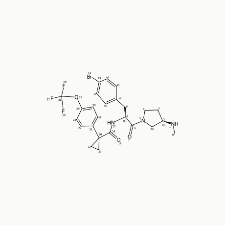 CN[C@@H]1CCN(C(=O)[C@H](Cc2ccc(Br)cc2)NC(=O)C2(c3ccc(OC(F)(F)F)cc3)CC2)C1